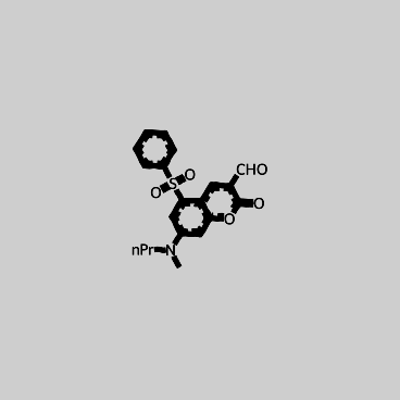 CCCN(C)c1cc(S(=O)(=O)c2ccccc2)c2cc(C=O)c(=O)oc2c1